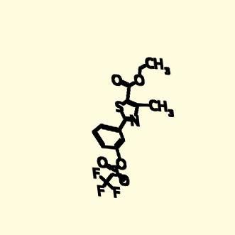 CCOC(=O)c1sc(-c2cccc(OS(=O)(=O)C(F)(F)F)c2)nc1C